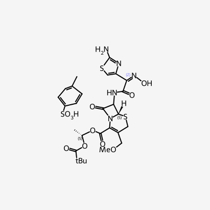 COCC1=C(C(=O)O[C@@H](C)OC(=O)C(C)(C)C)N2C(=O)C(NC(=O)/C(=N\O)c3csc(N)n3)[C@@H]2SC1.Cc1ccc(S(=O)(=O)O)cc1